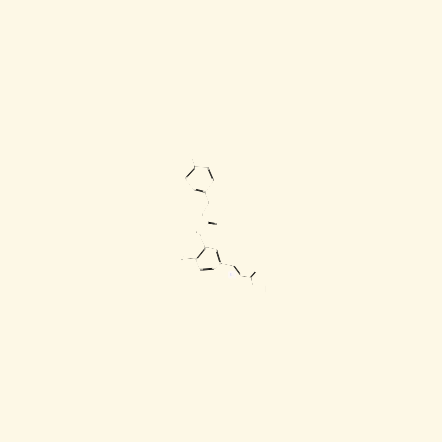 O=C(O)/C=C/c1ccc(Br)c(NC(=O)CCc2ccc(F)cc2)c1